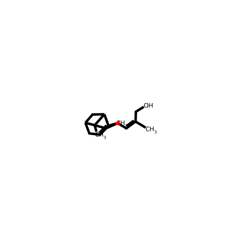 CC(=CCCC1(C)C2CC=C(C)C1C2)CO